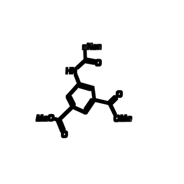 CCCCCCCCCC(=O)Nc1cc(C(=O)OC)cc(C(=O)OC)c1